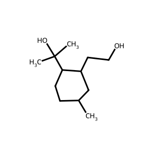 CC1CCC(C(C)(C)O)C(CCO)C1